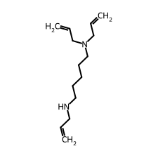 C=CCNCCCCCN(CC=C)CC=C